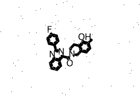 Cc1ccc2c(c1O)CCN(C(=O)c1nc(-c3ccc(F)cc3)nc3ccccc13)C2